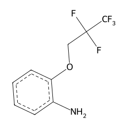 Nc1ccccc1OCC(F)(F)C(F)(F)F